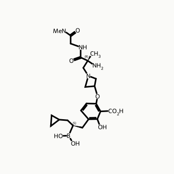 CNC(=O)CNC(=O)[C@](C)(N)CN1CC(Oc2ccc(C[C@H](CC3CC3)B(O)O)c(O)c2C(=O)O)C1